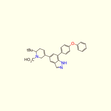 CC(C)(C)C1CC=C(c2cc(-c3ccc(Oc4ccccc4)cc3)c3[nH]ncc3c2)CN1C(=O)O